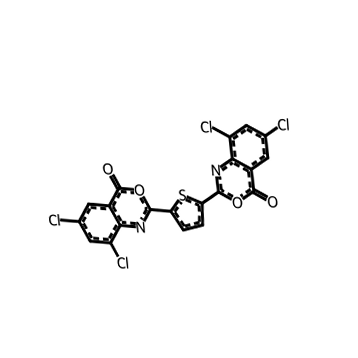 O=c1oc(-c2ccc(-c3nc4c(Cl)cc(Cl)cc4c(=O)o3)s2)nc2c(Cl)cc(Cl)cc12